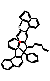 C=C/C=C\C=C(/c1ccc2c(c1)-c1cccc3cccc(c13)O2)C1(c2ccccc2)c2ccccc2-c2c1ccc1ccccc21